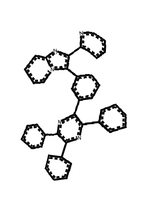 c1ccc(-c2nc(-c3ccccc3)c(-c3cccc(-c4c(-c5ccccn5)nc5ccccn45)c3)nc2-c2ccccc2)cc1